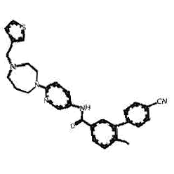 Cc1ccc(C(=O)Nc2ccc(N3CCCN(Cc4ccsc4)CC3)nc2)cc1-c1ccc(C#N)cc1